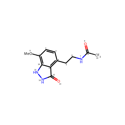 COc1ccc(CCNC(=O)C(F)(F)F)c2c(=O)[nH][nH]c12